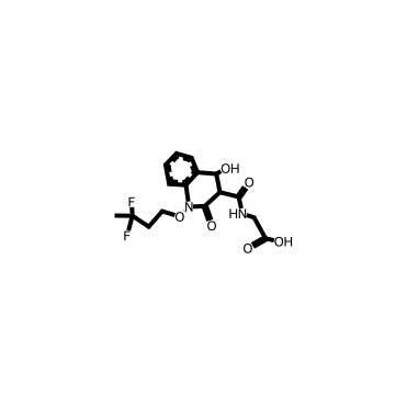 CC(F)(F)CCON1C(=O)C(C(=O)NCC(=O)O)C(O)c2ccccc21